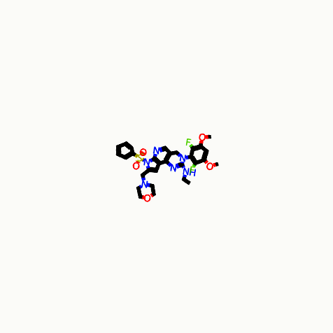 CCNC1=Nc2c(cnc3c2cc(CN2CCOCC2)n3S(=O)(=O)c2ccccc2)CN1c1c(F)c(OC)cc(OC)c1F